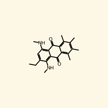 CCc1cc(NC)c2c(c1NC)C(=O)c1c(C)c(C)c(C)c(C)c1C2=O